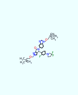 C[Si](C)(C)CCOCn1cc2c(n1)C(=O)N(c1ccc3c(c1)ncn3COCC[Si](C)(C)C)C2c1ccc(N2CCC(F)(F)C2)cc1F